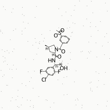 C[C@@H]1C[C@H](C(=O)N[C@@H](c2cc(F)c(Cl)cc2F)[C@H](C)O)N(C(=O)c2cccc(S(C)(=O)=O)c2)C1